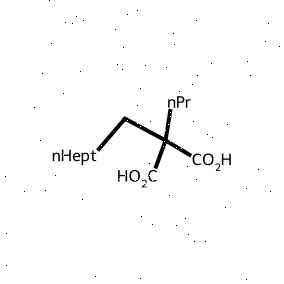 CCCCCCCCC(CCC)(C(=O)O)C(=O)O